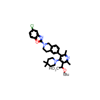 Cc1nc(C)c(C(OC(C)(C)C)C(=O)O)c(N2CCC(C)(C)CC2)c1-c1ccc2c(c1)CCN(c1nc3cc(Cl)ccc3o1)C2